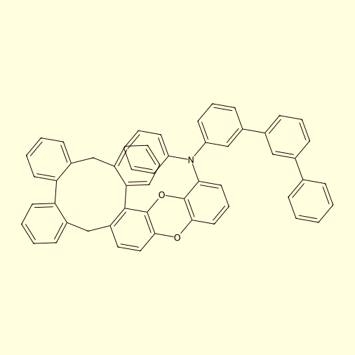 c1ccc(-c2cccc(-c3cccc(N(c4ccccc4)c4cccc5c4Oc4c(ccc6c4-c4ccccc4Cc4ccccc4-c4ccccc4C6)O5)c3)c2)cc1